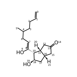 C=CCCC(C)CC=C(O)[C@@H]1[C@@H]2CC(=O)C[C@@H]2C[C@H]1O